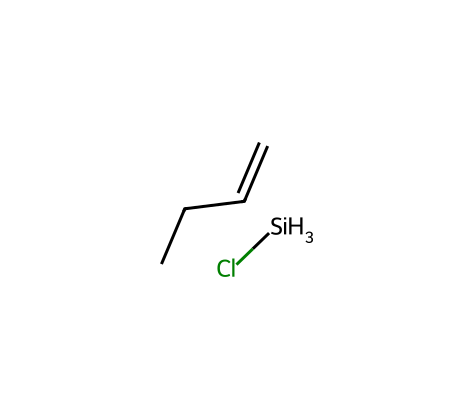 C=CCC.[SiH3]Cl